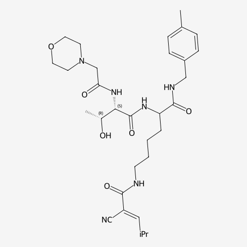 Cc1ccc(CNC(=O)C(CCCCNC(=O)C(C#N)=CC(C)C)NC(=O)[C@@H](NC(=O)CN2CCOCC2)[C@@H](C)O)cc1